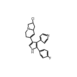 Fc1ccc(-c2[nH]cc(C3=CC4CC(Cl)CN4CC3)c2-c2ccncc2)cc1